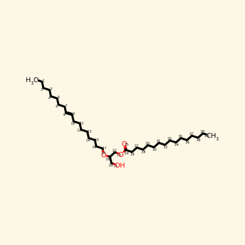 CCCCCCCCC=CCCCCCCCCOC(CO)COC(=O)CCCCCCCCCCCCCCC